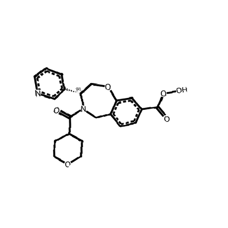 O=C(OO)c1ccc2c(c1)OC[C@@H](c1cccnc1)N(C(=O)C1CCOCC1)C2